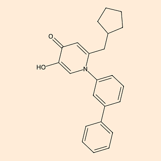 O=c1cc(CC2CCCC2)n(-c2cccc(-c3ccccc3)c2)cc1O